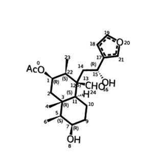 CC(=O)O[C@@H]1C[C@@]2(C)[C@H](C)[C@H](O)CC[C@@H]2[C@@](C=O)(C[C@@H](O)c2ccoc2)[C@@H]1C